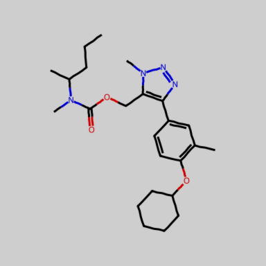 CCCC(C)N(C)C(=O)OCc1c(-c2ccc(OC3CCCCC3)c(C)c2)nnn1C